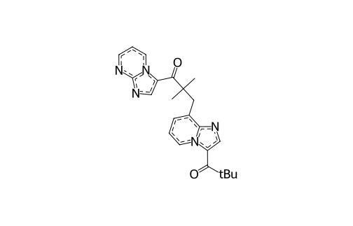 CC(C)(C)C(=O)c1cnc2c(CC(C)(C)C(=O)c3cnc4ncccn34)cccn12